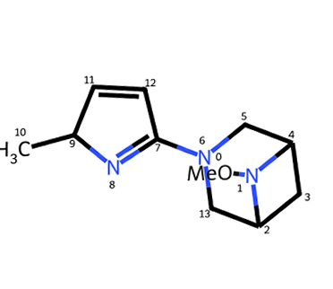 CON1C2CC1CN(C1=NC(C)C=C1)C2